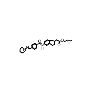 COCCOC(=O)CC1CCc2cc(NC(=O)c3ccc(C=NN4CCCCC4)cc3)ccc2C1